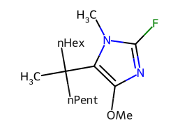 CCCCCCC(C)(CCCCC)c1c(OC)nc(F)n1C